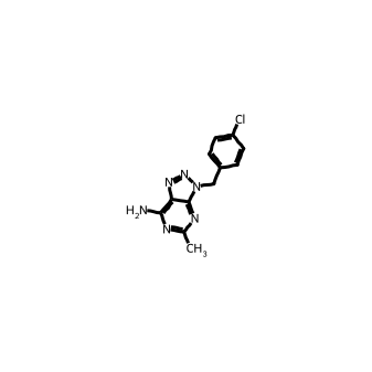 Cc1nc(N)c2nnn(Cc3ccc(Cl)cc3)c2n1